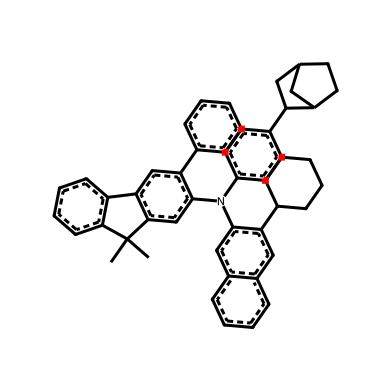 CC1(C)c2ccccc2-c2cc(-c3ccccc3)c(N(c3ccc(C4CC5CCC4C5)cc3)c3cc4ccccc4cc3C3CCCCC3)cc21